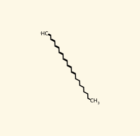 [CH]=CC=CC=CC=CC=CC=CC=CCCCCCCCC